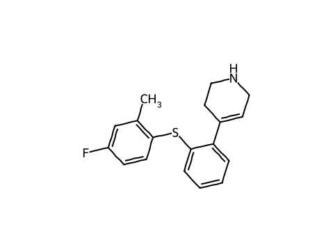 Cc1cc(F)ccc1Sc1ccccc1C1=CCNCC1